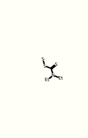 CCN(CC)C(=S)S[S]